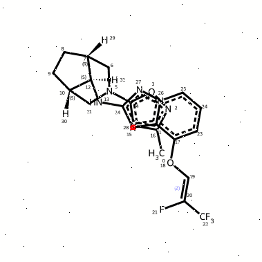 Cc1noc(N2C[C@H]3CC[C@@H](C2)[C@@H]3Nc2nc3c(O/C=C(\F)C(F)(F)F)cccn3n2)n1